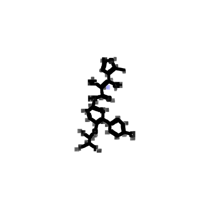 Cc1oncc1/C(O)=C(\C#N)C(=O)Nc1ncc(OC(F)C(F)F)c(-c2ccc(Cl)cc2)n1